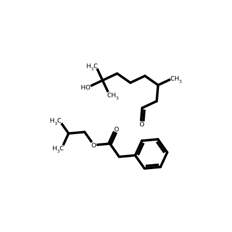 CC(C)COC(=O)Cc1ccccc1.CC(CC=O)CCCC(C)(C)O